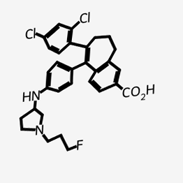 O=C(O)c1ccc2c(c1)CCCC(c1ccc(Cl)cc1Cl)=C2c1ccc(NC2CCN(CCCF)C2)cc1